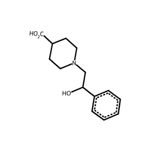 O=C(O)C1CCN(CC(O)c2ccccc2)CC1